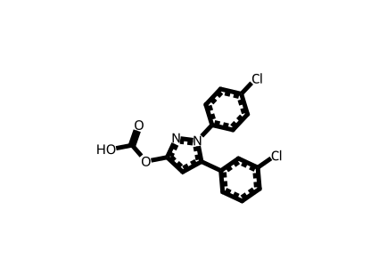 O=C(O)Oc1cc(-c2cccc(Cl)c2)n(-c2ccc(Cl)cc2)n1